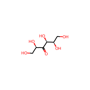 O=C([C@H](O)CO)[C@@H](O)[C@H](O)CO